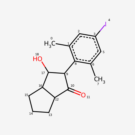 Cc1cc(I)cc(C)c1C1C(=O)C2CCCC2C1O